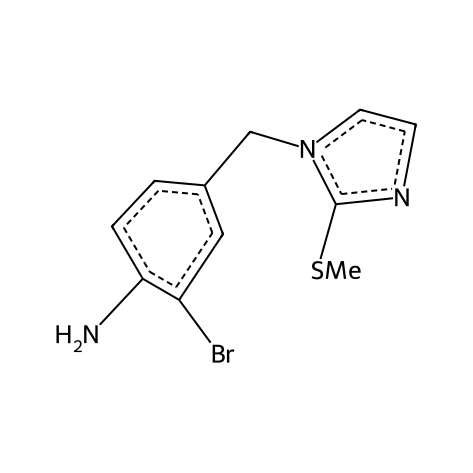 CSc1nccn1Cc1ccc(N)c(Br)c1